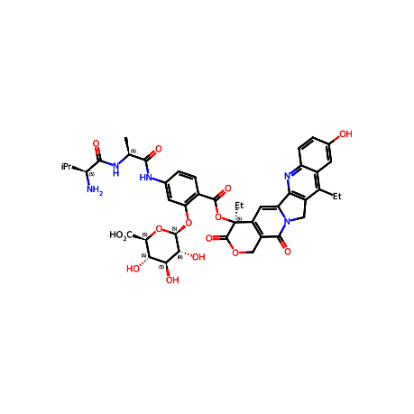 CCc1c2c(nc3ccc(O)cc13)-c1cc3c(c(=O)n1C2)COC(=O)[C@@]3(CC)OC(=O)c1ccc(NC(=O)[C@H](C)NC(=O)[C@@H](N)C(C)C)cc1O[C@@H]1O[C@H](C(=O)O)[C@@H](O)[C@H](O)[C@H]1O